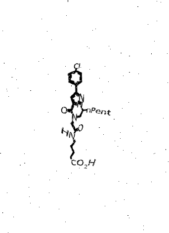 CCCCCC1CN(CC(=O)NCCCCC(=O)O)C(=O)c2cc(-c3ccc(Cl)cc3)nn21